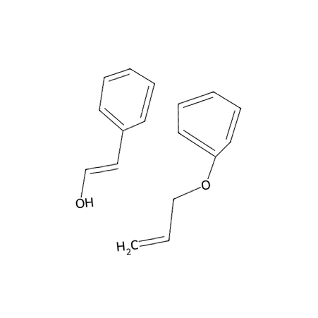 C=CCOc1ccccc1.OC=Cc1ccccc1